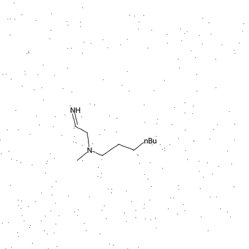 CCCCCCCN(C)CC=N